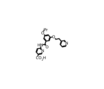 CC(C)Oc1cc(OCCc2cccnc2)cc(C(=O)Nc2ccc(C(=O)O)cn2)c1